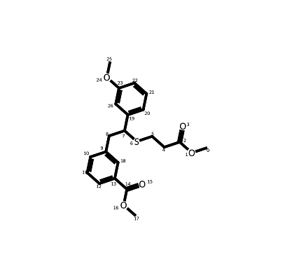 COC(=O)CCSC(Cc1cccc(C(=O)OC)c1)c1cccc(OC)c1